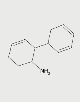 NC1CCC=CC1C1C=CC=CC1